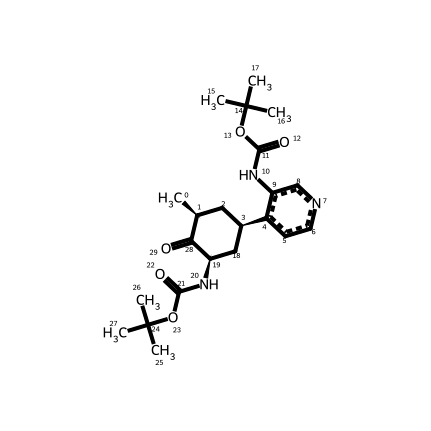 C[C@H]1C[C@@H](c2ccncc2NC(=O)OC(C)(C)C)C[C@@H](NC(=O)OC(C)(C)C)C1=O